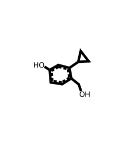 OCc1ccc(O)cc1C1CC1